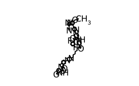 CCOc1cc(-c2ccc(N3CCC(CN4CCN(C(=O)CCCCCCN5CCN(c6ccc7c(c6)C(=O)N([C@H]6CCC(=O)NC6=O)C7)CC5)CC4)(NC(=O)c4cc(F)ccc4F)CC3)nc2)c2c(C#N)cnn2c1